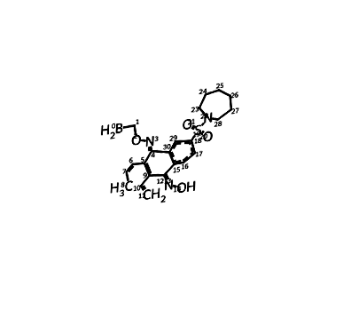 BCO/N=C1C(/C=C\C)=C(C=C)/C(=N/O)c2ccc(S(=O)(=O)N3CCCCCC3)cc2\1